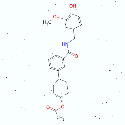 COC1=C(O)C=CC(CNC(=O)c2cccc(C3CCC(OC(C)=O)CC3)c2)C1